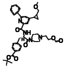 COCC1CC1c1cc(C(=O)N[C@@H](Cc2ccc(C(=O)OC(C)(C)C)cc2)C(=O)N2CCN(CCOC=O)CC2)nc(-c2ccccc2)c1